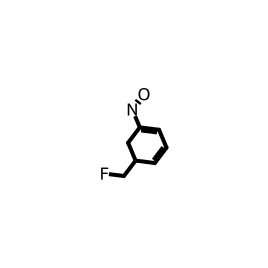 O=NC1=CC=CC(CF)C1